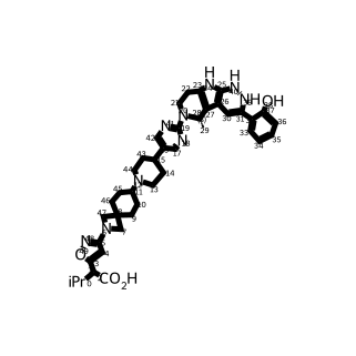 CC(C)C(C(=O)O)c1cc(N2CC3(CCC(N4CCC(c5cnc(N6CCc7[nH]c8c(c7[C@@H]6C)C=C(c6ccccc6O)NN8)nc5)CC4)CC3)C2)no1